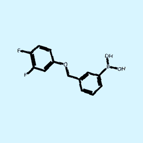 OB(O)c1cccc(COc2ccc(F)c(F)c2)c1